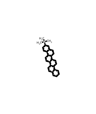 C[Si](C)(C)c1ccc2c(ccc3c2ccc2c4ccc5ccccc5c4ccc32)c1